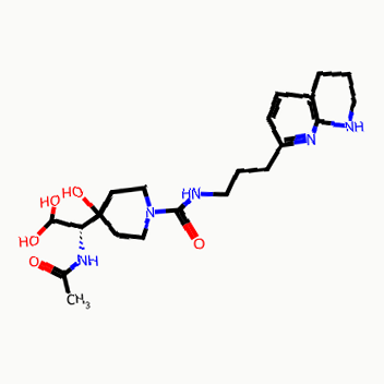 CC(=O)N[C@H](C(O)O)C1(O)CCN(C(=O)NCCCc2ccc3c(n2)NCCC3)CC1